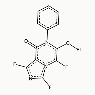 CCOc1c(F)n2c(F)nc(F)c2c(=O)n1-c1ccccc1